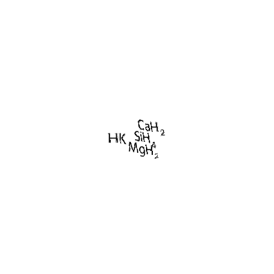 [CaH2].[KH].[MgH2].[SiH4]